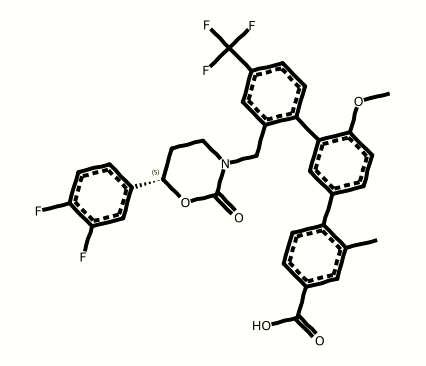 COc1ccc(-c2ccc(C(=O)O)cc2C)cc1-c1ccc(C(F)(F)F)cc1CN1CC[C@@H](c2ccc(F)c(F)c2)OC1=O